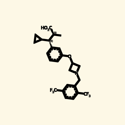 C[C@H](C(=O)O)[C@H](c1cccc(OC2CN(Cc3cc(C(F)(F)F)ccc3C(F)(F)F)C2)c1)C1CC1